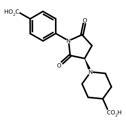 O=C(O)c1ccc(N2C(=O)C[C@@H](N3CCC(C(=O)O)CC3)C2=O)cc1